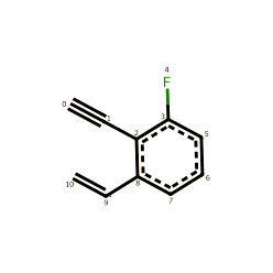 C#Cc1c(F)cccc1[C]=C